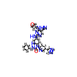 Cn1cc(-c2ccc(N(C(=O)NCc3ccccc3)[C@H]3CC[C@H](Nc4ncc(C#N)c(NC5CCOC5)n4)CC3)nc2)cn1